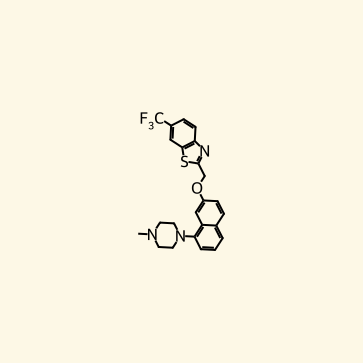 CN1CCN(c2cccc3ccc(OCc4nc5ccc(C(F)(F)F)cc5s4)cc23)CC1